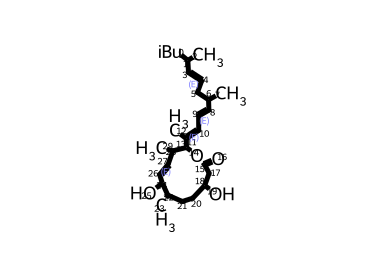 CCC(C)C(C)/C=C/CC(C)/C=C/C=C(\C)C1OC(=O)CC(O)CCC(C)C(O)/C=C/C1C